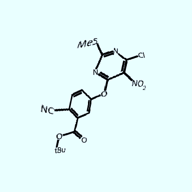 CSc1nc(Cl)c([N+](=O)[O-])c(Oc2ccc(C#N)c(C(=O)OC(C)(C)C)c2)n1